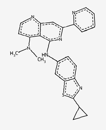 CN(C)c1ccnc2cc(-c3ccccn3)nc(Nc3ccc4nc(C5CC5)sc4c3)c12